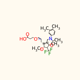 COC1C(C(F)(F)F)C(=O)[C@H](CN(c2ccc(C)c(C)c2)C(C)C)[C@H]1C/C=C\OCCC(=O)O